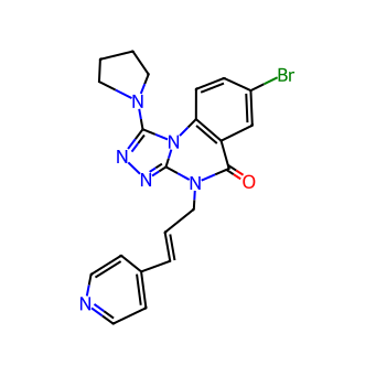 O=c1c2cc(Br)ccc2n2c(N3CCCC3)nnc2n1CC=Cc1ccncc1